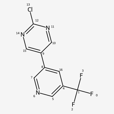 FC(F)(F)c1cncc(-c2cnc(Cl)nc2)c1